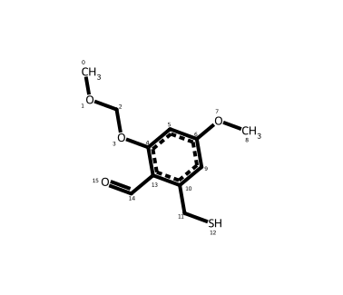 COCOc1cc(OC)cc(CS)c1C=O